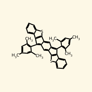 Cc1cc(C)c(C2=c3cc4c(cc3-c3sc5ccccc5c32)=C(c2c(C)cc(C)cc2C)c2c-4sc3ccccc23)c(C)c1